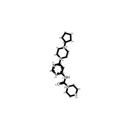 O=C(Nc1cc(N2CCN(C3CCCC3)CC2)ncn1)N1CCOCC1